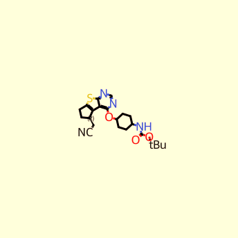 CC(C)(C)OC(=O)NC1CCC(Oc2ncnc3sc4c(c23)[C@@H](CC#N)CC4)CC1